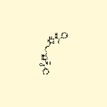 O=C(Nc1nnc(C/C=C\Cc2nnc(NC(=O)c3ccccc3)s2)s1)c1ccccc1